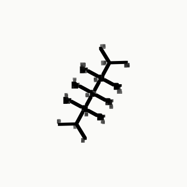 CC(C)[Si](Br)(Br)[Si](Br)(Br)[Si](Br)(Br)C(C)C